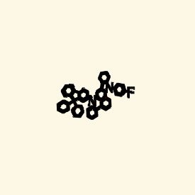 Fc1ccc(-n2c3ccccc3c3cc(N(c4ccc5c(c4)C(c4ccccc4)(c4ccccc4)c4ccccc4-5)c4ccccc4-c4ccccc4)ccc32)cc1